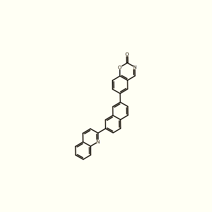 O=c1ncc2cc(-c3ccc4ccc(-c5ccc6ccccc6n5)cc4c3)ccc2o1